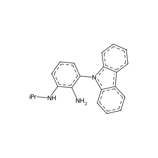 CC(C)Nc1cccc(-n2c3ccccc3c3ccccc32)c1N